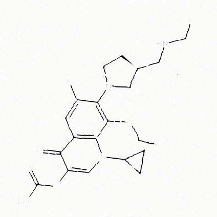 CCN[C@H](C)[C@@H]1CCN(c2c(F)cc3c(=O)c(OC(=O)O)cn(C4CC4)c3c2OCC)C1